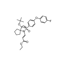 CCOC(=O)/C=C/N(C1(C(=O)OC(C)(C)C)CCCC1)S(=O)(=O)c1ccc(Oc2ccc(F)cc2)cc1